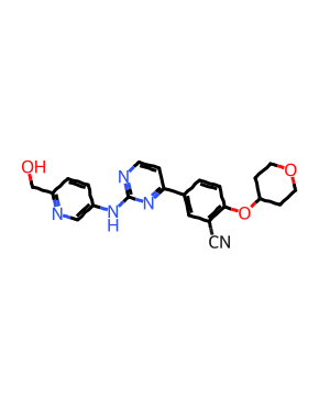 N#Cc1cc(-c2ccnc(Nc3ccc(CO)nc3)n2)ccc1OC1CCOCC1